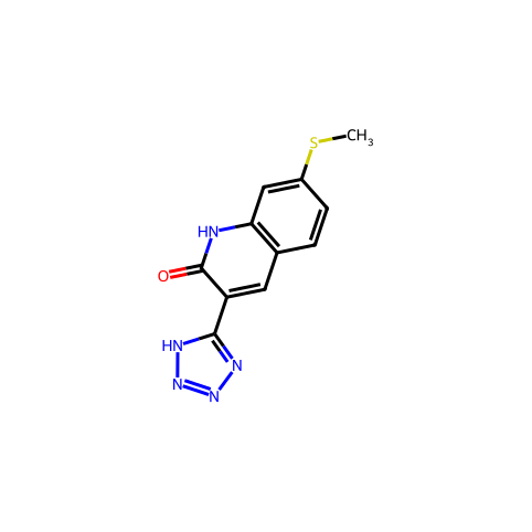 CSc1ccc2cc(-c3nnn[nH]3)c(=O)[nH]c2c1